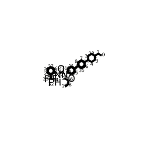 CCC1CCC(c2ccc(-c3ccc4c(c3)OC(CC)CN4C(=O)Nc3ccccc3C(F)(F)F)cc2)CC1